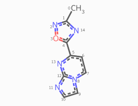 Cc1noc(-c2ccn3ccnc3n2)n1